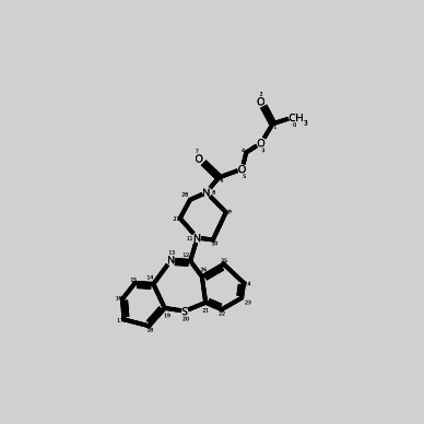 CC(=O)OCOC(=O)N1CCN(C2=Nc3ccccc3Sc3ccccc32)CC1